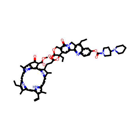 C=Cc1c(C)c2cc3nc(c4c5[nH]c(cc6nc(cc1[nH]2)C(C)=C6CC)c(C)c5C(=O)C4C(=O)OC)C(CCC(=O)OC1(CC)C(=O)OCc2c1cc1n(c2=O)Cc2c-1nc1ccc(OC(=O)N4CCC(N5CCCCC5)CC4)cc1c2CC)C3C